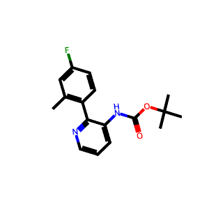 Cc1cc(F)ccc1-c1ncccc1NC(=O)OC(C)(C)C